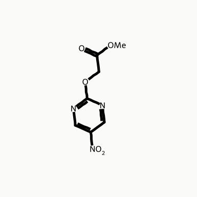 COC(=O)COc1ncc([N+](=O)[O-])cn1